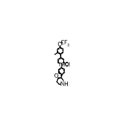 Cc1cc(OC(F)(F)F)ccc1-c1ccn(-c2ccc3c4c(oc3c2)CCNC4)c(=O)c1.Cl